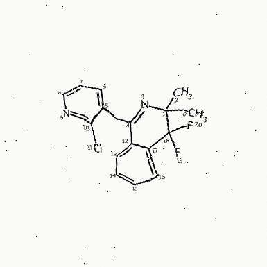 CC1(C)N=C(c2cccnc2Cl)c2ccccc2C1(F)F